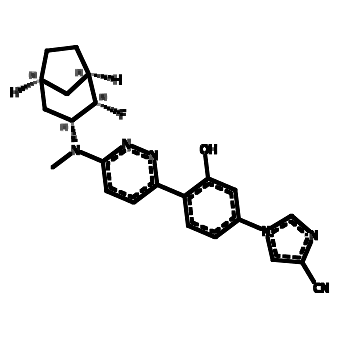 CN(c1ccc(-c2ccc(-n3cnc(C#N)c3)cc2O)nn1)[C@@H]1C[C@H]2CC[C@H](C2)[C@@H]1F